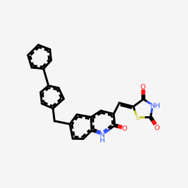 O=C1NC(=O)C(=Cc2cc3cc(Cc4ccc(-c5ccccc5)cc4)ccc3[nH]c2=O)S1